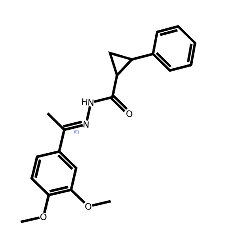 COc1ccc(/C(C)=N/NC(=O)C2CC2c2ccccc2)cc1OC